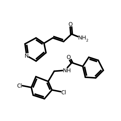 NC(=O)/C=C/c1ccncc1.O=C(NCc1cc(Cl)ccc1Cl)c1ccccc1